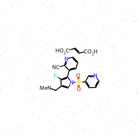 CNCc1cn(S(=O)(=O)c2cccnc2)c(-c2cccnc2C#N)c1F.O=C(O)C=CC(=O)O